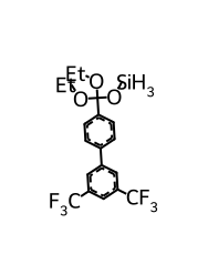 CCOC(O[SiH3])(OCC)c1ccc(-c2cc(C(F)(F)F)cc(C(F)(F)F)c2)cc1